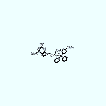 COc1ccc(C(OCC(CO)OCn2cnc3c(SC)nc(N(C)C)nc32)(c2ccccc2)c2ccccc2)cc1